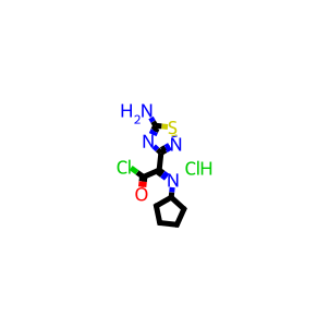 Cl.Nc1nc(C(=NC2CCCC2)C(=O)Cl)ns1